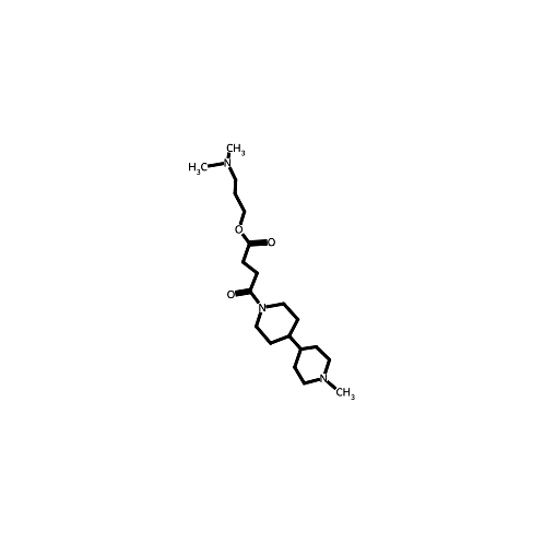 CN(C)CCCOC(=O)CCC(=O)N1CCC(C2CCN(C)CC2)CC1